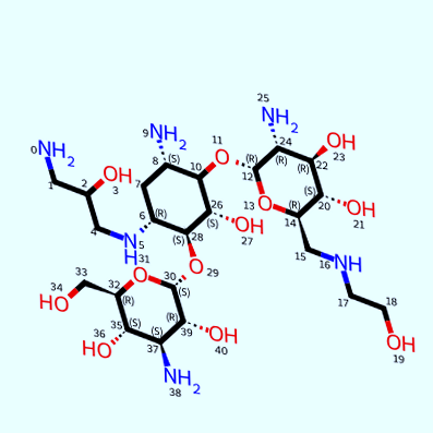 NCC(O)CN[C@@H]1C[C@H](N)C(O[C@H]2O[C@H](CNCCO)[C@@H](O)[C@H](O)[C@H]2N)[C@H](O)[C@H]1O[C@H]1O[C@H](CO)[C@@H](O)[C@H](N)[C@H]1O